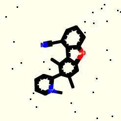 Cc1cc2oc3cccc(C#N)c3c2c(C)c1-c1cccc[n+]1C